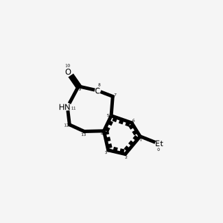 CCc1ccc2c(c1)CCC(=O)NCC2